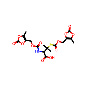 Cc1oc(=O)oc1COC(=O)NC(C(=O)O)C(C)(C)SC(=O)OCc1oc(=O)oc1C